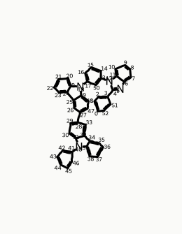 c1ccc(-c2nc3ccccc3n2-c2cccc(-n3c4ccccc4c4cc(-c5ccc6c(c5)c5ccccc5n6-c5ccccc5)ccc43)c2)cc1